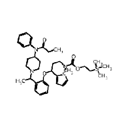 CCC(=O)N(c1ccccc1)C1CCN(C(C)c2ccccc2OC(CCN(C)C(=O)OCC[Si](C)(C)C)c2cccs2)CC1